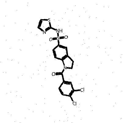 O=C(c1ccc(Cl)c(Cl)c1)N1CCc2cc(S(=O)(=O)Nc3nccs3)ccc21